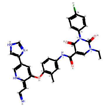 CCn1cc(C(=O)Nc2ccc(OC3=CC(c4c[nH]cn4)=CN/C3=C\C=N)c(C)c2)c(=O)n(-c2ccc(F)cc2)c1=O